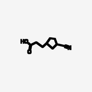 N#CC1CCC(CCC(=O)O)C1